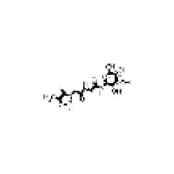 C=C(C)C(=O)NCC(=O)NCC(=O)NC1O[C@@H](C)[C@@H](O)[C@@H](O)[C@@H]1O